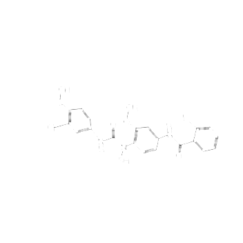 COc1cc(NC(=O)c2ccccc2F)ccc1N(S)C(=O)Nc1ccc(SC)c(Cl)c1